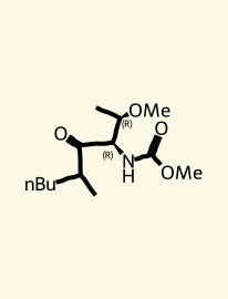 CCCCC(C)C(=O)[C@H](NC(=O)OC)[C@@H](C)OC